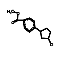 COC(=O)c1ccc(C2CCC(Cl)C2)cc1